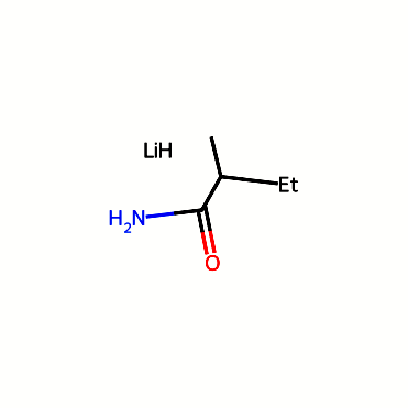 CCC(C)C(N)=O.[LiH]